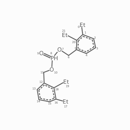 CCc1cccc(CO[PH](=O)OCc2cccc(CC)c2CC)c1CC